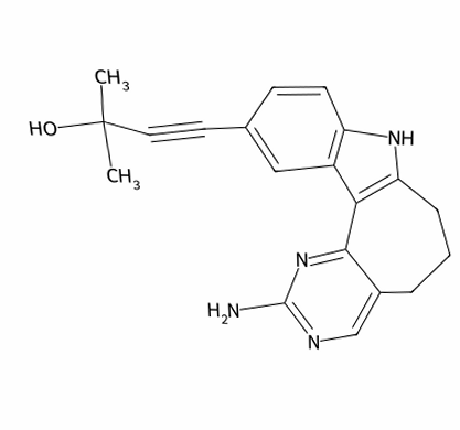 CC(C)(O)C#Cc1ccc2[nH]c3c(c2c1)-c1nc(N)ncc1CCC3